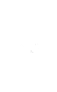 CC(O)c1ncco1